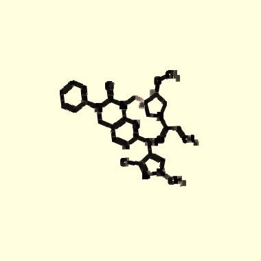 C=CC(=O)N1C[C@H](CN2C(=O)N(c3ccccc3)Cc3cnc(Nc4cn(C)nc4Cl)nc32)[C@@H](OC)C1